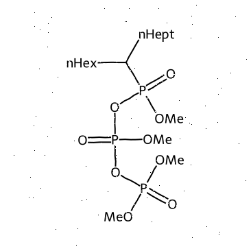 CCCCCCCC(CCCCCC)P(=O)(OC)OP(=O)(OC)OP(=O)(OC)OC